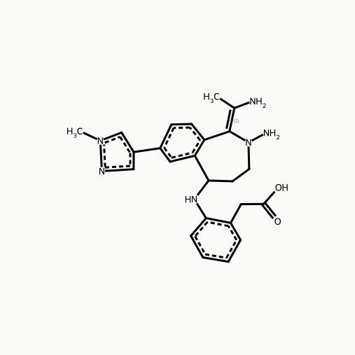 C/C(N)=C1\c2ccc(-c3cnn(C)c3)cc2C(Nc2ccccc2CC(=O)O)CCN1N